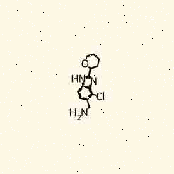 NCc1ccc2[nH]c(C3CCCCO3)nc2c1Cl